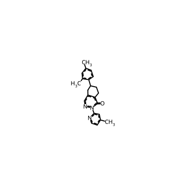 Cc1ccnc(-n2ncc3c(c2=O)CCC(c2ccc(C)cc2C)C3)c1